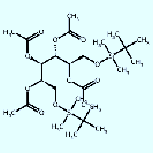 CC(=O)O[C@@H]([C@H](OC(C)=O)[C@@H](CO[Si](C)(C)C(C)(C)C)OC(C)=O)[C@@H](CO[Si](C)(C)C(C)(C)C)OC(C)=O